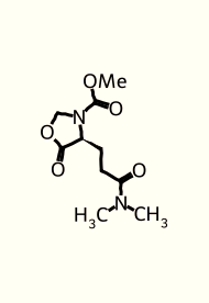 COC(=O)N1COC(=O)[C@@H]1CCC(=O)N(C)C